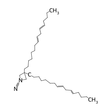 CCCC/C=C/C/C=C/CCCCCCCC1(CCCCCCC/C=C/C/C=C/CCCC)CN(C#N)C1